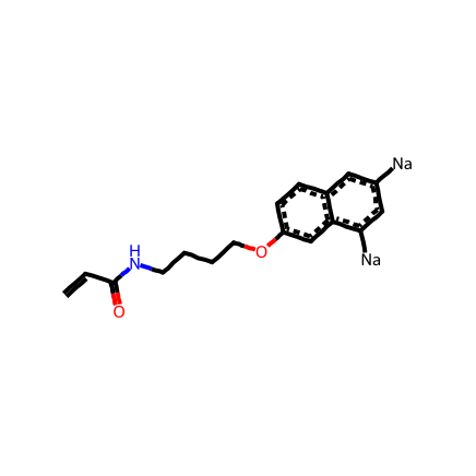 C=CC(=O)NCCCCOc1ccc2c[c]([Na])c[c]([Na])c2c1